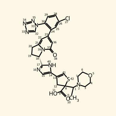 CC(N1CCOCC1)C1(C(=O)O)CC(c2cnc([C@@H]3CCc4cc(-c5cc(Cl)ccc5-n5cnnn5)cc(=O)n43)[nH]2)=CS1